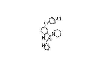 Clc1ccc(Oc2ccc3nc(-n4cccn4)nc(N4CCCCC4)c3c2)cc1